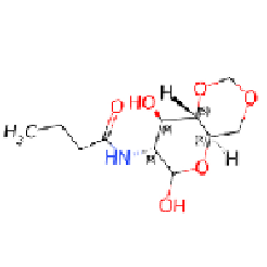 CCCC(=O)N[C@H]1C(O)O[C@@H]2COCO[C@H]2[C@@H]1O